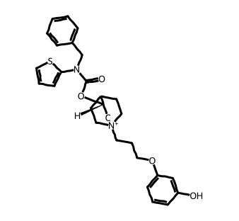 O=C(O[C@H]1C[N+]2(CCCOc3cccc(O)c3)CCC1CC2)N(Cc1ccccc1)c1cccs1